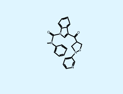 CN(C(=O)n1cc(C(=O)C2CSN(c3cccnc3)C2)c2ccccc21)c1ccccc1